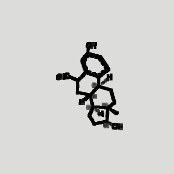 C[C@]12CC[C@@H]3c4ccc(O)cc4C(C=O)C[C@H]3[C@@H]1CC[C@H]2O